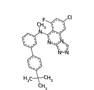 CN(c1cccc(-c2ccc(C(C)(C)C)cc2)c1)c1nc2nncn2c2cc(Cl)cc(F)c12